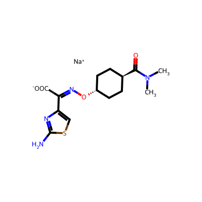 CN(C)C(=O)[C@H]1CC[C@H](ON=C(C(=O)[O-])c2csc(N)n2)CC1.[Na+]